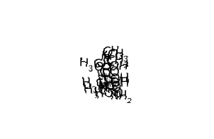 CCN(Cc1cc(O)c2c(c1OC)C[C@H]1C[C@H]3[C@H](N(C)C)C(O)=C(C(N)=O)C(=O)[C@@]3(O)C(O)=C1C2=O)C(C)C